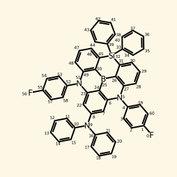 Fc1ccc(N2c3cc(N(c4ccccc4)c4ccccc4)cc4c3B3c5c2cccc5[Si](c2ccccc2)(c2ccccc2)c2cccc(c23)N4c2ccc(F)cc2)cc1